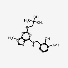 COc1cccc(CNc2nc(NCC(C)(C)O)nc3c2ncn3C)c1O